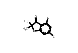 CC1(C)Oc2[c]c(Cl)cc(Cl)c2C1=O